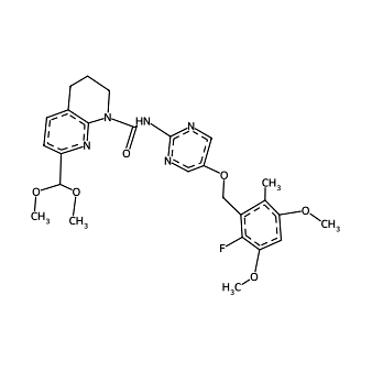 COc1cc(OC)c(F)c(COc2cnc(NC(=O)N3CCCc4ccc(C(OC)OC)nc43)nc2)c1C